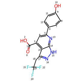 O=C(O)c1cc(-c2ccc(O)cc2)nc2[nH]nc(CC(F)(F)F)c12